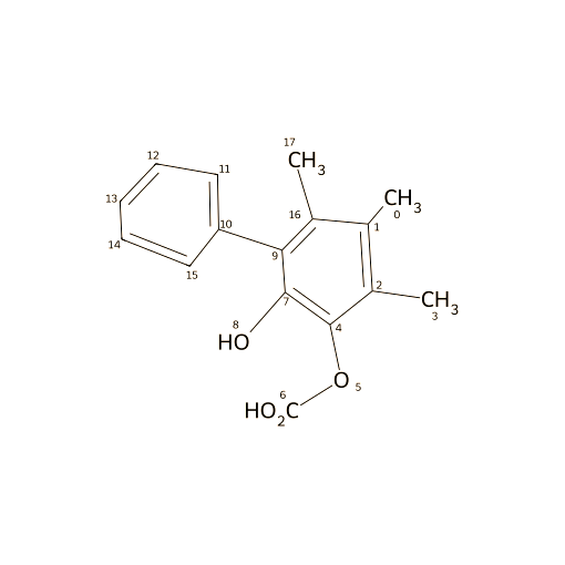 Cc1c(C)c(OC(=O)O)c(O)c(-c2ccccc2)c1C